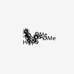 COCCCOc1cc(C(=O)N(C[C@@H]2CNC[C@H]2NS(=O)(=O)C(C)c2ccccc2)C(C)C)ccc1OC